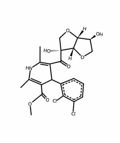 COC(=O)C1=C(C)NC(C)=C(C(=O)[C@@]2(O)CO[C@@H]3[C@@H](O)CO[C@@H]32)C1c1cccc(Cl)c1Cl